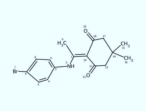 CC(Nc1ccc(Br)cc1)=C1C(=O)CC(C)(C)CC1=O